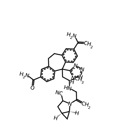 C=C(N)c1ccc2c(c1)CCc1cc(C(N)=O)ccc1C2(C[C@@H](C)NCC(=C)N1C(C#N)C[C@@H]2C[C@@H]21)c1nnn[nH]1